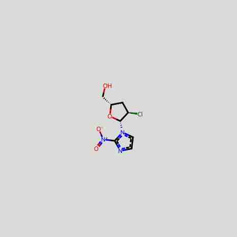 O=[N+]([O-])c1nccn1[C@@H]1O[C@H](CO)C[C@H]1Cl